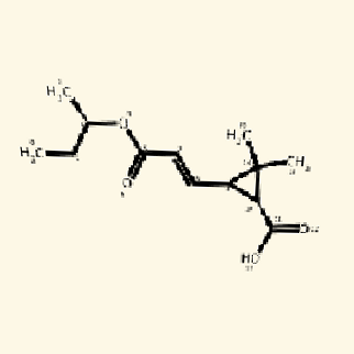 CC[C@@H](C)OC(=O)C=CC1[C@H](C(=O)O)C1(C)C